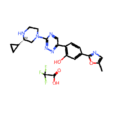 Cc1cnc(-c2ccc(-c3cnc(N4CCN[C@@H](C5CC5)C4)nn3)c(O)c2)o1.O=C(O)C(F)(F)F